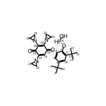 CC(C)(C)c1ccc(OPO)c(C(C)(C)C)c1.O=C1C=C(N2CC2)C(=O)C(N2CC2)=C1N1CC1